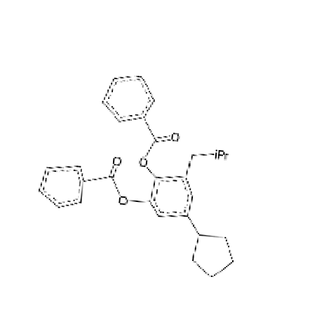 CC(C)Cc1cc(C2CCCC2)cc(OC(=O)c2ccccc2)c1OC(=O)c1ccccc1